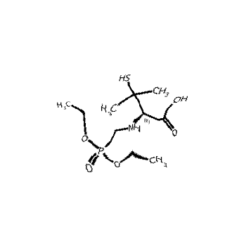 CCOP(=O)(CN[C@H](C(=O)O)C(C)(C)S)OCC